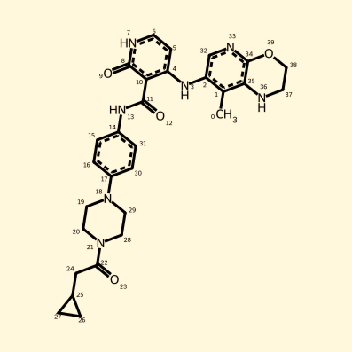 Cc1c(Nc2cc[nH]c(=O)c2C(=O)Nc2ccc(N3CCN(C(=O)CC4CC4)CC3)cc2)cnc2c1NCCO2